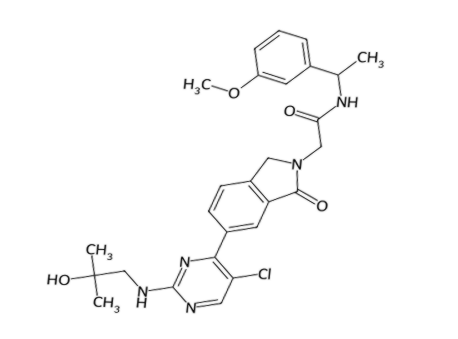 COc1cccc(C(C)NC(=O)CN2Cc3ccc(-c4nc(NCC(C)(C)O)ncc4Cl)cc3C2=O)c1